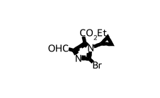 CCOC(=O)c1c(C=O)nc(Br)n1C1CC1